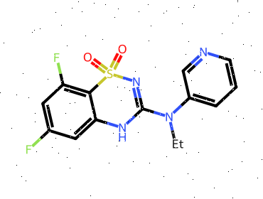 CCN(C1=NS(=O)(=O)c2c(F)cc(F)cc2N1)c1cccnc1